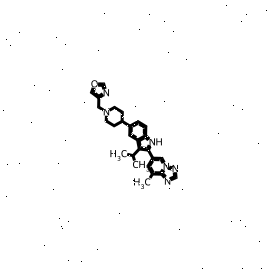 Cc1cc(-c2[nH]c3ccc(C4CCN(Cc5cocn5)CC4)cc3c2C(C)C)cn2ncnc12